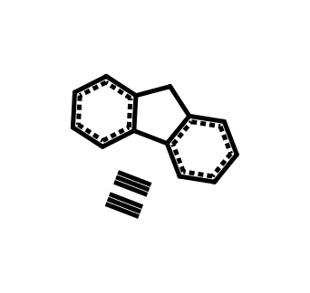 C#C.C#C.c1ccc2c(c1)Cc1ccccc1-2